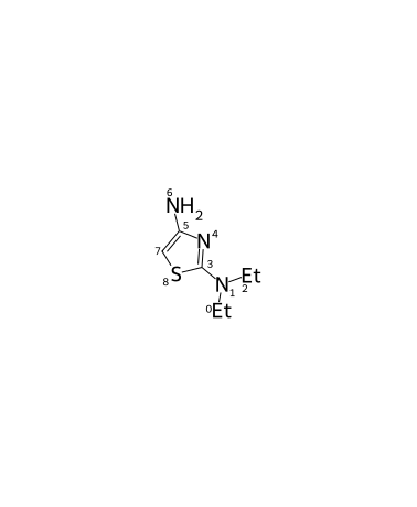 CCN(CC)c1nc(N)cs1